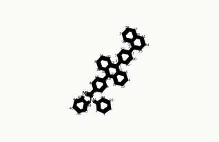 c1ccc(-n2c(-c3ccc(-c4c5ccccc5c(-c5ccc(-c6cccc7ccccc67)cc5)c5ccccc45)cc3)nc3ccccc32)cc1